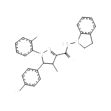 CC1C(C(=O)NN2CCc3ccccc32)=NN(c2ccccc2Cl)C1c1ccc(Cl)cc1